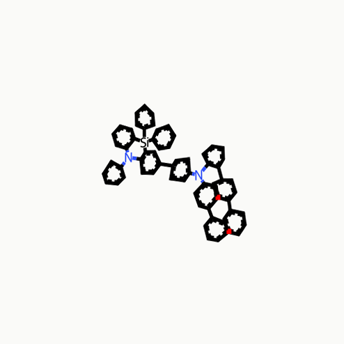 c1ccc(-c2ccc(-c3ccccc3N(c3ccc(-c4ccccc4)cc3)c3ccc(-c4ccc5c(c4)[Si](c4ccccc4)(c4ccccc4)c4ccccc4N5c4ccccc4)cc3)cc2)cc1